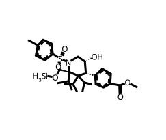 COC(=O)c1ccc([C@H]2[C@@H](O)CN(S(=O)(=O)c3ccc(C)cc3)[C@@](CO[SiH3])(C(C)C)C2(C(C)C)C(C)C)cc1